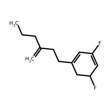 C=C(CCC)CCC1=CC(F)=CC(F)C1